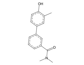 Cc1cc(-c2cccc(C(=O)N(C)C)c2)ccc1O